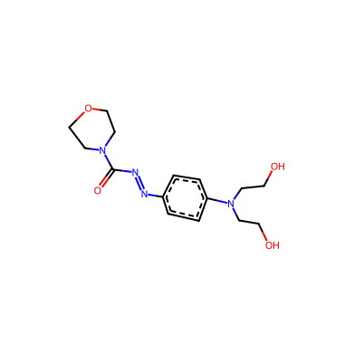 O=C(N=Nc1ccc(N(CCO)CCO)cc1)N1CCOCC1